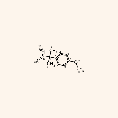 CC(C)(c1ccc(OC(F)(F)F)cc1)[SH](=O)=O